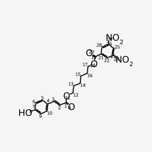 O=C(C=Cc1ccc(O)cc1)OCCCCCCOC(=O)c1cc([N+](=O)[O-])cc([N+](=O)[O-])c1